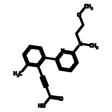 COCCN(C)c1cccc(-c2cccc(C)c2C#CC(=O)O)n1